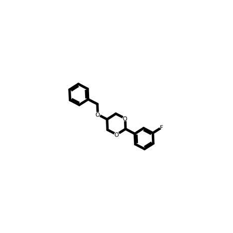 Fc1cccc(C2OCC(OCc3ccccc3)CO2)c1